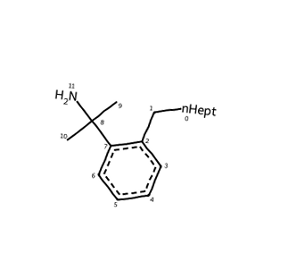 CCCCCCCCc1ccccc1C(C)(C)N